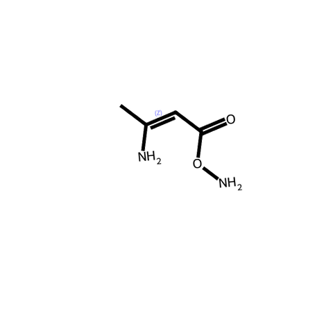 C/C(N)=C/C(=O)ON